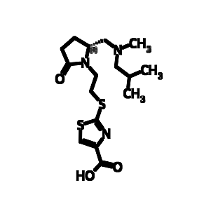 CC(C)CN(C)C[C@H]1CCC(=O)N1CCSc1nc(C(=O)O)cs1